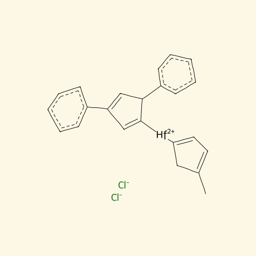 CC1=CC=[C]([Hf+2][C]2=CC(c3ccccc3)=CC2c2ccccc2)C1.[Cl-].[Cl-]